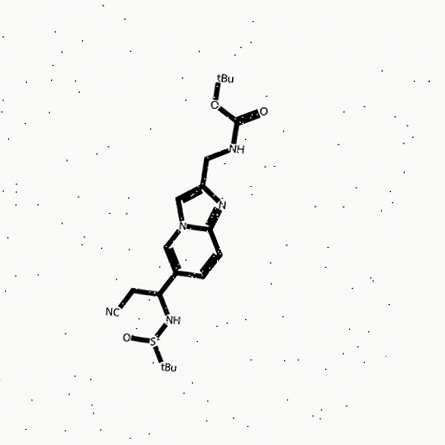 CC(C)(C)OC(=O)NCc1cn2cc(C(CC#N)N[S+]([O-])C(C)(C)C)ccc2n1